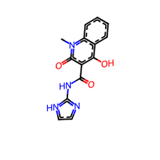 Cn1c(=O)c(C(=O)Nc2ncc[nH]2)c(O)c2ccccc21